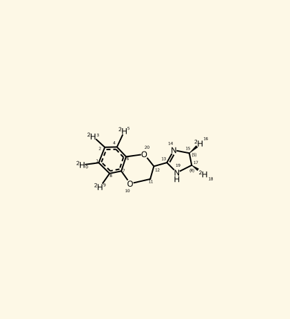 [2H]c1c([2H])c([2H])c2c(c1[2H])OCC(C1=N[C@@H]([2H])[C@@H]([2H])N1)O2